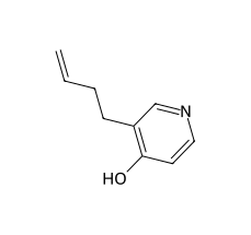 C=CCCc1cnccc1O